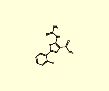 NC(=O)Nc1sc(-c2ccccc2F)cc1C(N)=O